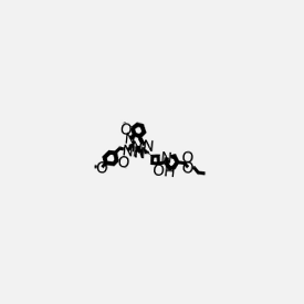 CCCOC(=O)c1ccc([C@]2(O)C[C@@H](c3nc4c5cccc(OC)c5nc(NCc5ccc(OC)cc5OC)n4n3)C2)nc1